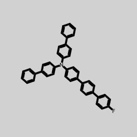 Fc1ccc(-c2ccc(-c3ccc(N(c4ccc(-c5ccccc5)cc4)c4ccc(-c5ccccc5)cc4)cc3)cc2)cc1